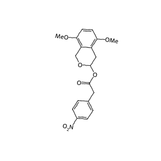 COc1ccc(OC)c2c1COC(OC(=O)Cc1ccc([N+](=O)[O-])cc1)C2